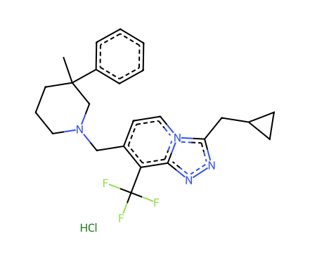 CC1(c2ccccc2)CCCN(Cc2ccn3c(CC4CC4)nnc3c2C(F)(F)F)C1.Cl